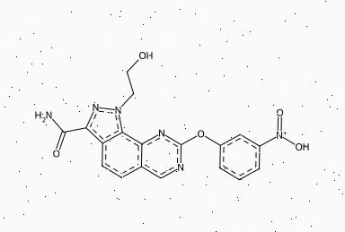 NC(=O)c1nn(CCO)c2c1ccc1cnc(Oc3cccc([N+](=O)O)c3)nc12